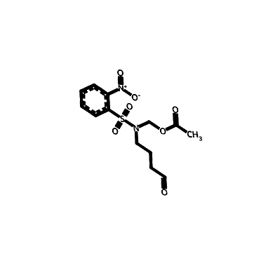 CC(=O)OCN(CCCC=O)S(=O)(=O)c1ccccc1[N+](=O)[O-]